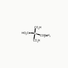 O=[C](O)[Co]([C](=O)O)([C](=O)O)[C](=O)O.[CaH2]